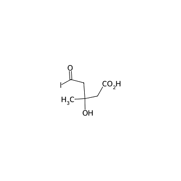 CC(O)(CC(=O)O)CC(=O)I